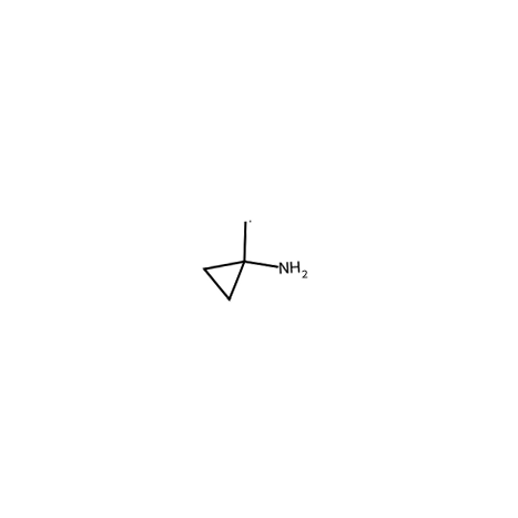 [CH2]C1(N)CC1